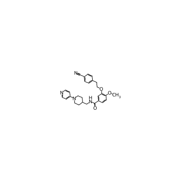 COc1ccc(C(=O)NCC2CCN(c3ccncc3)CC2)cc1OCCc1ccc(C#N)cc1